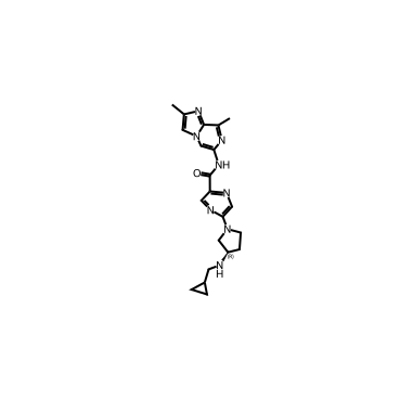 Cc1cn2cc(NC(=O)c3cnc(N4CC[C@@H](NCC5CC5)C4)cn3)nc(C)c2n1